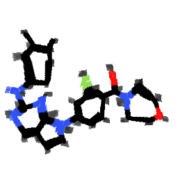 Cc1ccc(Nc2ncc3ccn(-c4ccc(C(=O)N5CCOCC5)c(F)c4)c3n2)cc1C